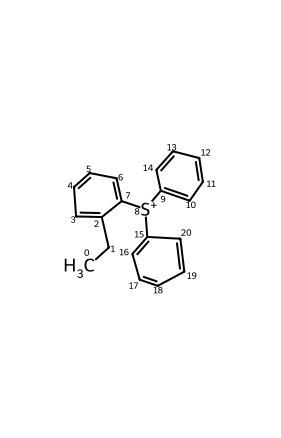 CCc1ccccc1[S+](c1ccccc1)c1ccccc1